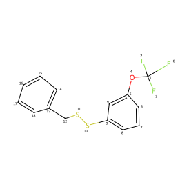 FC(F)(F)Oc1cccc(SSCc2ccccc2)c1